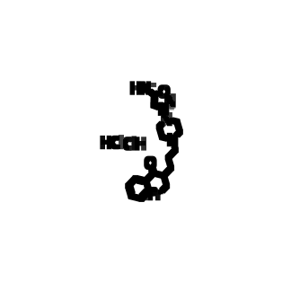 CC(C)CC(CCCN1CCN([n+]2cc([NH-])on2)CC1)C(=O)c1ccccc1.Cl.Cl